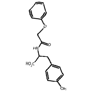 O=C(COc1ccccc1)NC(Cc1ccc(O)cc1)C(=O)O